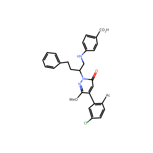 COc1nn(C(CCc2ccccc2)CNc2ccc(C(=O)O)cc2)c(=O)cc1-c1cc(Cl)ccc1C(C)=O